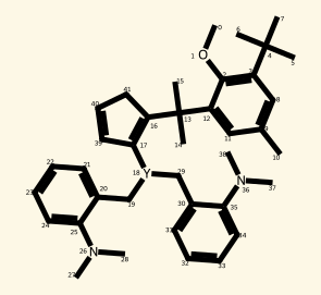 COc1c(C(C)(C)C)cc(C)cc1C(C)(C)C1=[C]([Y]([CH2]c2ccccc2N(C)C)[CH2]c2ccccc2N(C)C)C=CC1